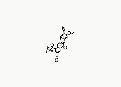 CCOc1cc(CN2CCc3c(cc(CC=O)cc3C(OC)C(F)(F)F)C2=O)ncc1C#N